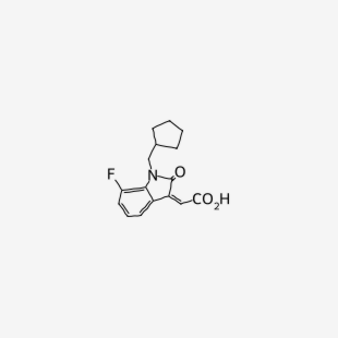 O=C(O)C=C1C(=O)N(CC2CCCC2)c2c(F)cccc21